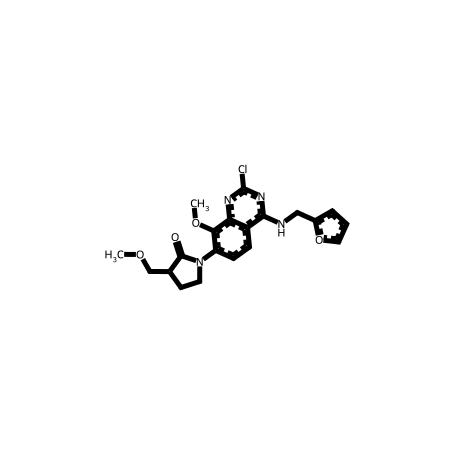 COCC1CCN(c2ccc3c(NCc4ccco4)nc(Cl)nc3c2OC)C1=O